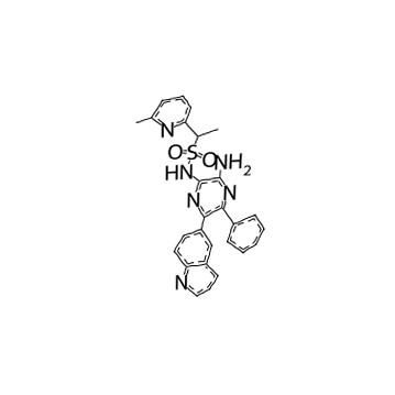 Cc1cccc(C(C)S(=O)(=O)Nc2nc(-c3ccc4ncccc4c3)c(-c3ccccc3)nc2N)n1